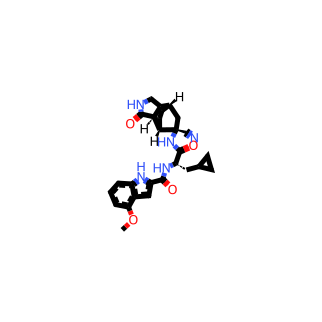 COc1cccc2[nH]c(C(=O)N[C@@H](CC3CC3)C(=O)N[C@@]3(C#N)C[C@@H]4CC[C@H]3[C@H]3C(=O)NCC43)cc12